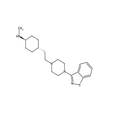 CN[C@H]1CC[C@H](CCN2CCN(c3nsc4ccccc34)CC2)CC1